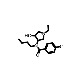 CCCCN(C(=O)c1ccc(Cl)cc1)C1CN(CC)CC1O